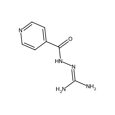 NC(N)=NNC(=O)c1ccncc1